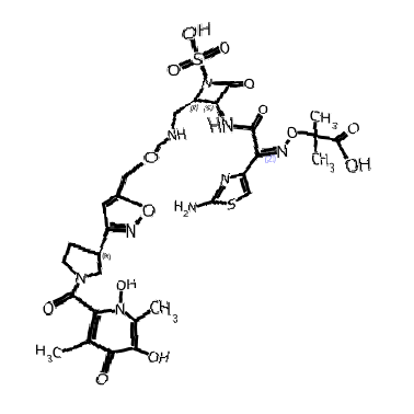 Cc1c(C(=O)N2CC[C@@H](c3cc(COCNC[C@@H]4[C@H](NC(=O)/C(=N\OC(C)(C)C(=O)O)c5csc(N)n5)C(=O)N4S(=O)(=O)O)on3)C2)n(O)c(C)c(O)c1=O